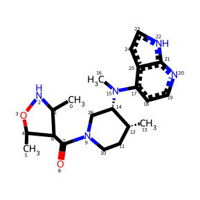 CC1NOC(C)C1C(=O)N1CC[C@@H](C)[C@@H](N(C)c2ccnc3[nH]ccc23)C1